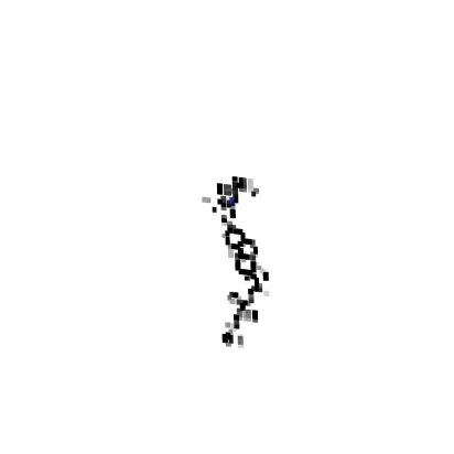 CC[C@H]1C2CCC3C[C@H](OC/C(N)=C/NN)CCC3[C@H]2CC[C@]1(C)C[C@H](C)CCC(=O)NCCSO